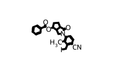 Cc1c(N2CC3C(OC(=O)c4ccccc4)CCC3C2=O)ccc(C#N)c1CI